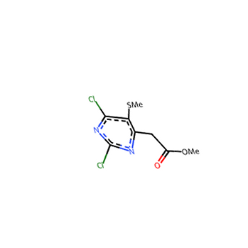 COC(=O)Cc1nc(Cl)nc(Cl)c1SC